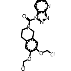 O=C(N1CCc2cc(OCCl)c(OCCl)cc2C1)n1nnc2ncccc21